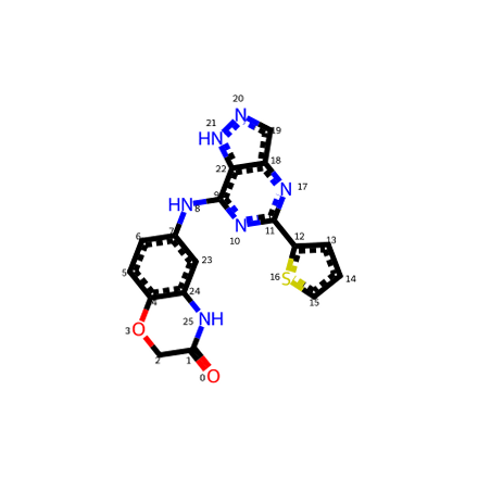 O=C1COc2ccc(Nc3nc(-c4cccs4)nc4cn[nH]c34)cc2N1